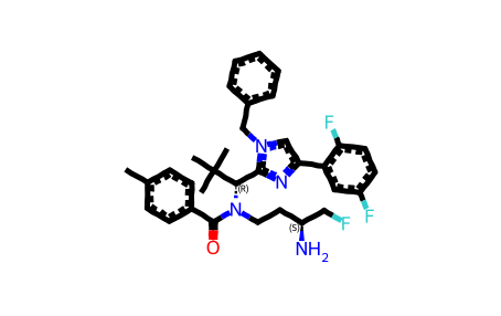 Cc1ccc(C(=O)N(CC[C@H](N)CF)[C@@H](c2nc(-c3cc(F)ccc3F)cn2Cc2ccccc2)C(C)(C)C)cc1